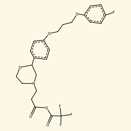 O=C(CCN1CCOC(c2ccc(OCCCOc3ccc(F)cc3)cc2)C1)OC(=O)C(F)(F)F